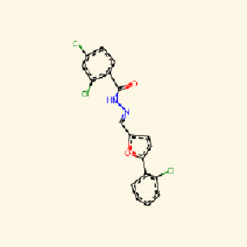 O=C(N/N=C/c1ccc(-c2ccccc2Cl)o1)c1ccc(Cl)cc1Cl